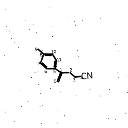 C=C(CCC#N)c1ccc(C)cc1